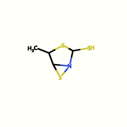 CC1SC(S)N2SC12